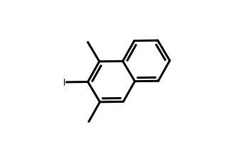 Cc1cc2ccccc2c(C)c1I